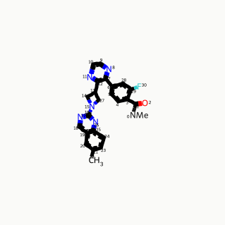 CNC(=O)c1ccc(-c2nccnc2C2CN(c3ncc4cc(C)ccc4n3)C2)cc1F